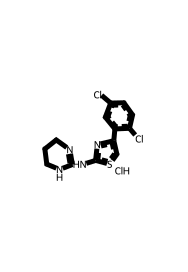 Cl.Clc1ccc(Cl)c(-c2csc(NC3=NCCCN3)n2)c1